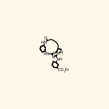 CCOC(=O)c1cccc(Nc2nc3nc4c(cnn24)CCCCC(=O)Nc2cccc(c2)N3)c1